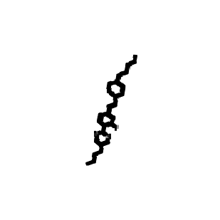 CCCCCC1CCC(CCc2ccc(-c3ncc(CCCC)cn3)c(F)c2)CC1